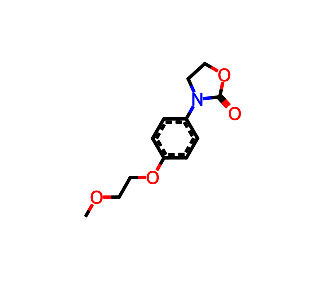 COCCOc1ccc(N2CCOC2=O)cc1